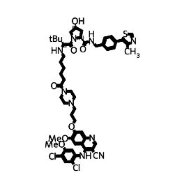 COc1cc(Nc2c(C#N)cnc3cc(OCCCN4CCN(C(=O)CCCCCN[C@H](C(=O)N5C[C@H](O)C[C@H]5C(=O)NCc5ccc(-c6scnc6C)cc5)C(C)(C)C)CC4)c(OC)cc23)c(Cl)cc1Cl